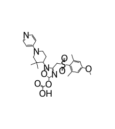 COc1cc(C)c(S(=O)(=O)CC2=NC(OC(=O)O)ON2C2CCN(c3ccncc3)CC2(C)C)c(C)c1